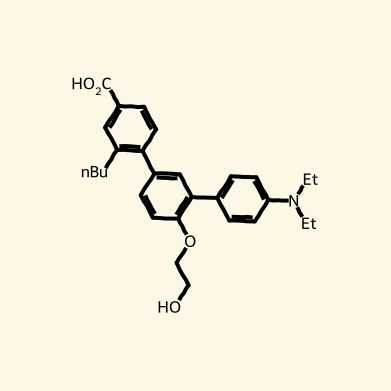 CCCCc1cc(C(=O)O)ccc1-c1ccc(OCCO)c(-c2ccc(N(CC)CC)cc2)c1